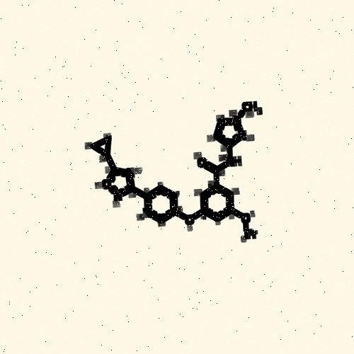 CC(C)Oc1cc(Oc2ccc(-c3noc(C4CC4)n3)nc2)cc(C(=O)Nc2ccn(C)n2)c1